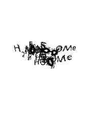 COc1cccc(-c2cc(F)c(N)c(F)c2)c1.COc1cccc(B(O)O)c1.Nc1c(F)cc(Br)cc1F